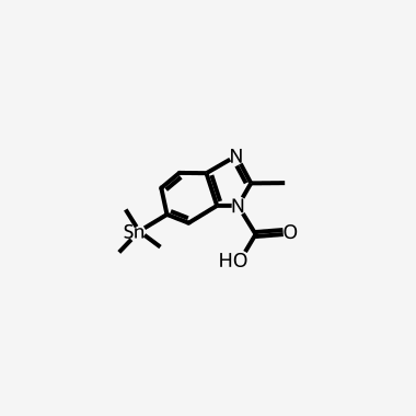 Cc1nc2cc[c]([Sn]([CH3])([CH3])[CH3])cc2n1C(=O)O